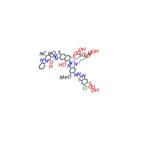 COc1cc(N=Nc2c(SOOO)cc3cc(S(=O)(=O)O)c(N=Nc4c(C)c(C#N)c5nc6ccccc6n5c4O)cc3c2O)c(N(CCCSOOO)CCCS(=O)(=O)O)cc1N=Nc1nc2cc(SOOO)c(Cl)cc2s1